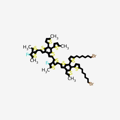 Cc1ccc(-c2c(-c3ccc(C)s3)c3sc(-c4sc(-c5cc6c(s5)c(-c5ccc(CCCCCCBr)s5)c(-c5ccc(CCCCCCBr)s5)c5sc(C)cc56)c5sc(C)c(F)c45)cc3c3cc(-c4sc(C)c5c(F)c(C)sc45)sc23)s1